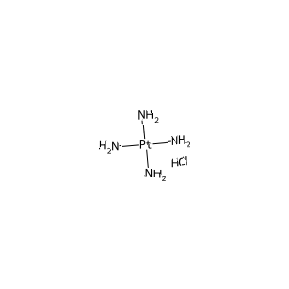 Cl.[NH2][Pt]([NH2])([NH2])[NH2]